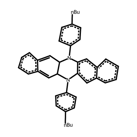 CCCCc1ccc(N2c3cc4ccccc4cc3N(c3ccc(CCCC)cc3)C3C=c4ccccc4=CC32)cc1